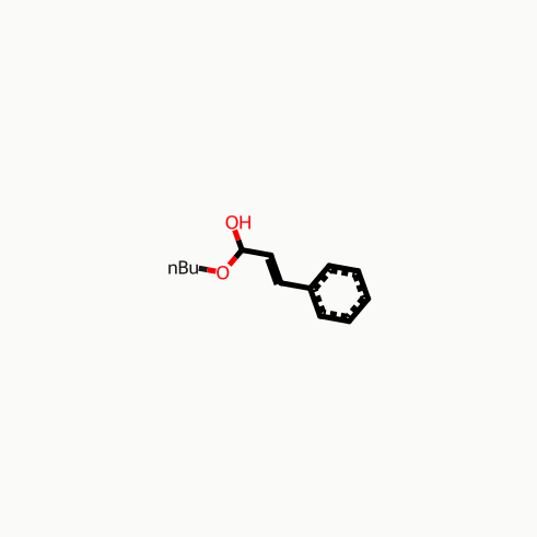 CCCCOC(O)C=Cc1ccccc1